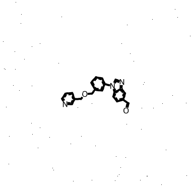 O=Cc1ccc2c(c1)ncn2-c1cccc(COCc2cccnc2)c1